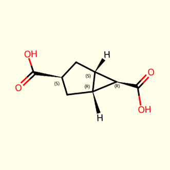 O=C(O)[C@@H]1C[C@@H]2[C@H](C1)[C@H]2C(=O)O